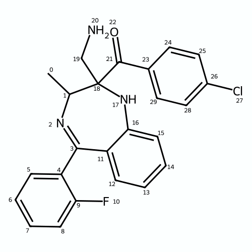 CC1N=C(c2ccccc2F)c2ccccc2NC1(CN)C(=O)c1ccc(Cl)cc1